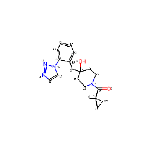 CC1(C(=O)N2CCC(O)(Cc3ccccc3-n3ccnn3)CC2)CC1